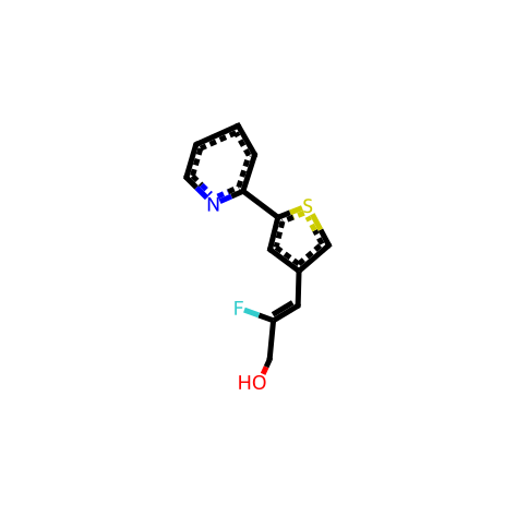 OCC(F)=Cc1csc(-c2ccccn2)c1